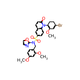 COC1=C(n2c(=O)ccc3cc(S(=O)(=O)N(Cc4ccc(OC)cc4OC)c4ncco4)ccc32)CCC(Br)=C1